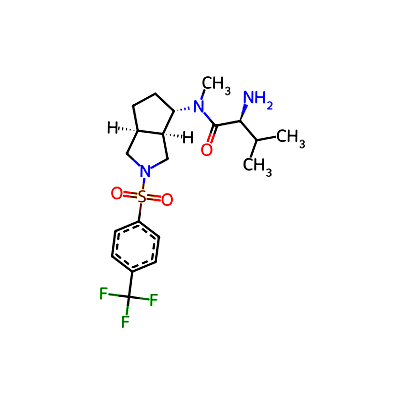 CC(C)[C@H](N)C(=O)N(C)[C@H]1CC[C@@H]2CN(S(=O)(=O)c3ccc(C(F)(F)F)cc3)C[C@@H]21